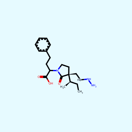 CC[C@@H](C)[C@@]1(CBNN)CCN(C(CCc2ccccc2)C(=O)O)C1=O